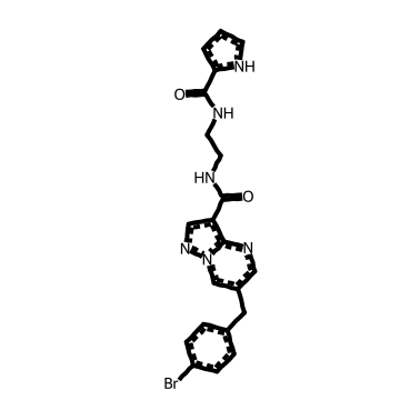 O=C(NCCNC(=O)c1cnn2cc(Cc3ccc(Br)cc3)cnc12)c1ccc[nH]1